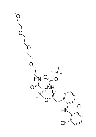 COCCOCCOCCOCCNC(=O)[C@@H](NC(=O)OC(C)(C)C)[C@@H](C)OC(=O)Cc1ccccc1Nc1c(Cl)cccc1Cl